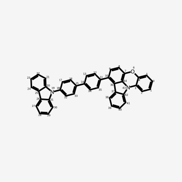 c1ccc2c(c1)Oc1ccc(-c3ccc(-c4ccc(-n5c6ccccc6c6ccccc65)cc4)cc3)c3c4ccccc4n-2c13